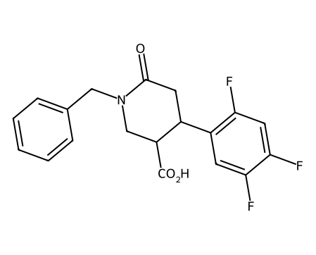 O=C(O)C1CN(Cc2ccccc2)C(=O)CC1c1cc(F)c(F)cc1F